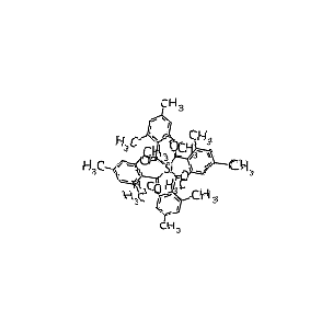 Cc1cc(C)c(C(=O)[Si](C(=O)c2c(C)cc(C)cc2C)(C(=O)c2c(C)cc(C)cc2C)C(=O)c2c(C)cc(C)cc2C)c(C)c1